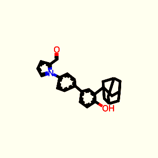 O=Cc1cccn1-c1ccc(-c2ccc(O)c(C34CC5CC(CC(C5)C3)C4)c2)cc1